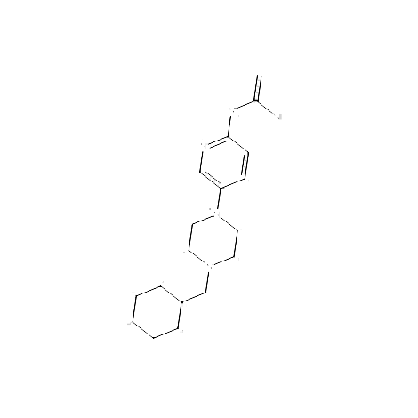 C=C(N)Nc1ccc(N2CCN(CC3CCCCC3)CC2)cn1